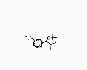 C[C@@H]1OC(C)(C)O[C@@H]1c1cc(N)ccn1